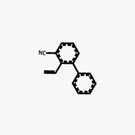 C=Cc1c(C#N)cccc1-c1ccccc1